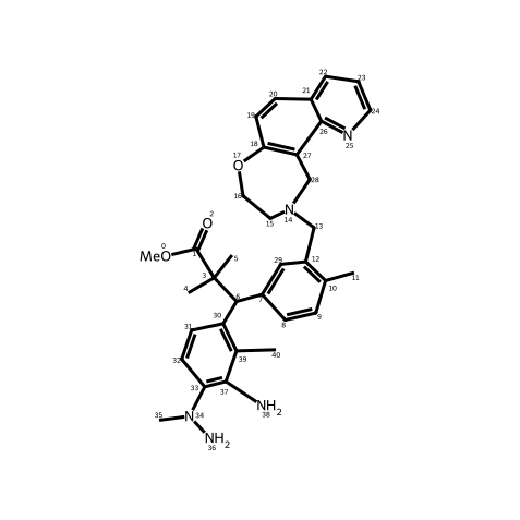 COC(=O)C(C)(C)C(c1ccc(C)c(CN2CCOc3ccc4cccnc4c3C2)c1)c1ccc(N(C)N)c(N)c1C